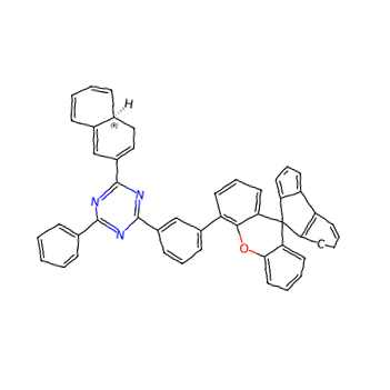 C1=CC2=CC(c3nc(-c4ccccc4)nc(-c4cccc(-c5cccc6c5Oc5ccccc5C65C6=C(C=CCC6)c6ccccc65)c4)n3)=CC[C@@H]2C=C1